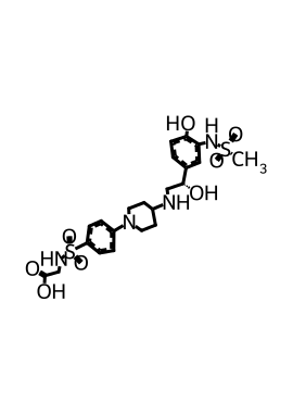 CS(=O)(=O)Nc1cc([C@H](O)CNC2CCN(c3ccc(S(=O)(=O)NCC(=O)O)cc3)CC2)ccc1O